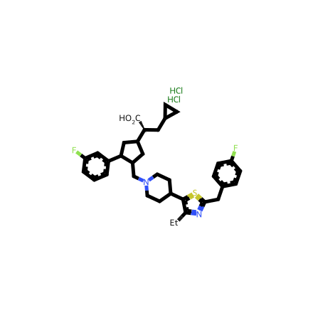 CCc1nc(Cc2ccc(F)cc2)sc1C1CCN(CC2CC([C@H](CC3CC3)C(=O)O)CC2c2cccc(F)c2)CC1.Cl.Cl